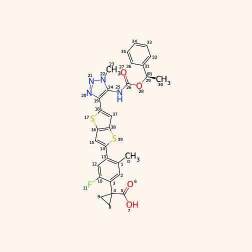 Cc1cc(C2(C(=O)O)CC2)c(F)cc1-c1cc2sc(-c3nnn(C)c3NC(=O)O[C@H](C)c3ccccc3)cc2s1